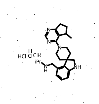 CC(C)NCc1cccc2c1C1(CCN(c3ncnc4c3C(C)CC4)CC1)CN2.Cl.Cl.Cl